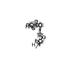 COc1cc(C(=O)N2CC[C@H](C#Cc3cccc4c3CN(C3CCC(=O)NC3=O)C4=O)C2)ccc1N